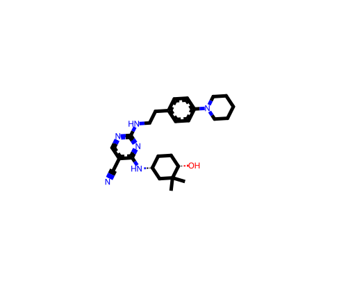 CC1(C)C[C@H](Nc2nc(NCCc3ccc(N4CCCCC4)cc3)ncc2C#N)CC[C@@H]1O